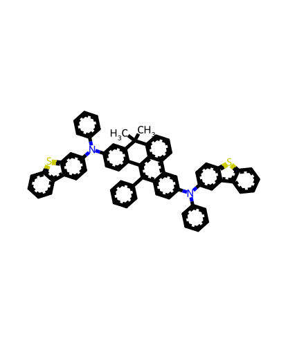 CC1(C)c2cc(N(c3ccccc3)c3ccc4c(c3)sc3ccccc34)ccc2-c2c(-c3ccccc3)c3ccc(N(c4ccccc4)c4ccc5sc6ccccc6c5c4)cc3c3cccc1c23